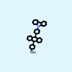 CC(C)(C)c1ccc(-c2c3ccccc3c(-c3ccc(-n4c5ccccc5c5ccccc54)cc3)c3ccccc23)cc1